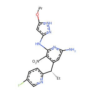 CC[C@H](c1ccc(F)cn1)c1cc(N)nc(Nc2cc(OC(C)C)[nH]n2)c1[N+](=O)[O-]